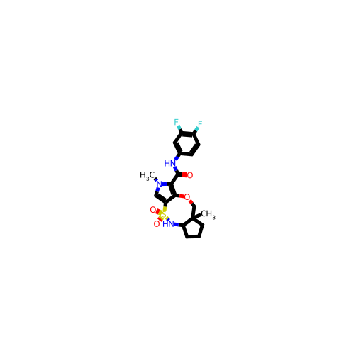 Cn1cc2c(c1C(=O)Nc1ccc(F)c(F)c1)OCC1(C)CCCC1NS2(=O)=O